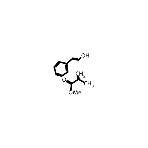 C=C(C)C(=O)OC.OC=Cc1ccccc1